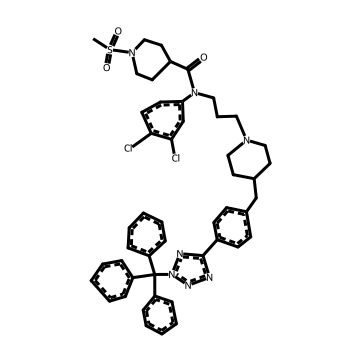 CS(=O)(=O)N1CCC(C(=O)N(CCCN2CCC(Cc3ccc(-c4nnn(C(c5ccccc5)(c5ccccc5)c5ccccc5)n4)cc3)CC2)c2ccc(Cl)c(Cl)c2)CC1